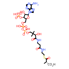 C[C@@H](C(=O)O)C(=O)SCCNC(=O)CCNC(=O)[C@H](O)C(C)(C)COP(=O)(O)OP(=O)(O)OCC1OC(n2cnc3c(N)ncnc32)[C@H](O)[C@@H]1OP(=O)(O)O